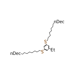 CCCCCCCCCCCCCCCCCCSc1cc(CC)cc(SCCCCCCCCCCCCCCCCCC)c1